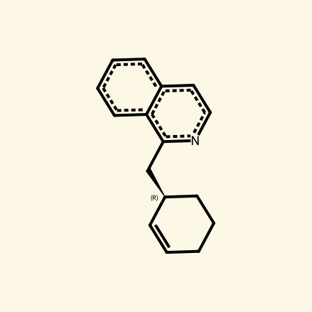 C1=C[C@@H](Cc2nccc3ccccc23)CCC1